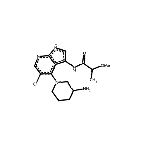 COC(C)C(=O)Nc1c[nH]c2ncc(Cl)c(N3CCCC(N)C3)c12